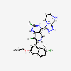 CCc1c(F)ccc2cc(OCOC)cc(-c3ncc4c(-c5nnc6n5CCCNC6)nc(Cl)nc4c3F)c12